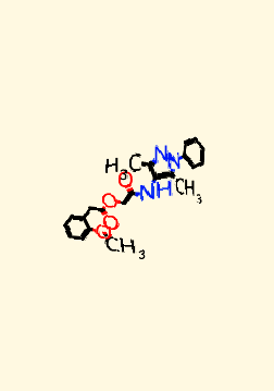 COc1ccccc1CC(=O)OCC(=O)Nc1c(C)nn(-c2ccccc2)c1C